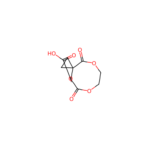 O=C(O)C1CCOC12C(=O)OCCOC(=O)C21CC1